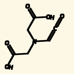 O=C=CN(CC(=O)O)CC(=O)O